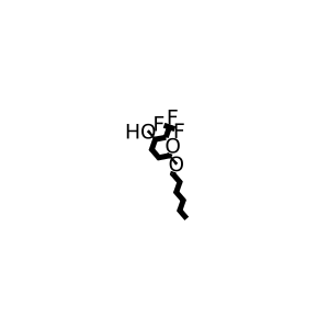 CCCCCCO[C@H]1CC[C@@H](O)C(C(F)(F)F)O1